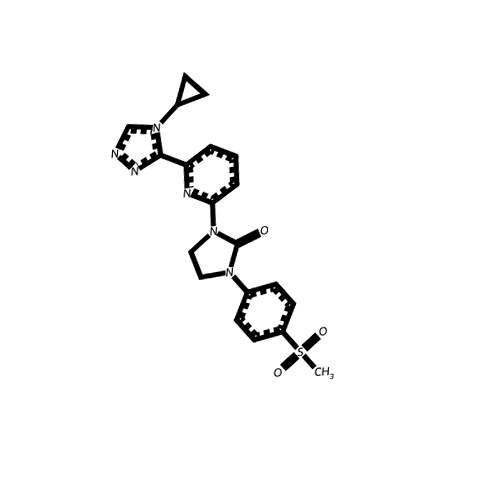 CS(=O)(=O)c1ccc(N2CCN(c3cccc(-c4nncn4C4CC4)n3)C2=O)cc1